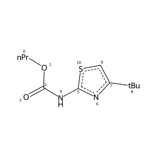 CCCOC(=O)Nc1nc(C(C)(C)C)cs1